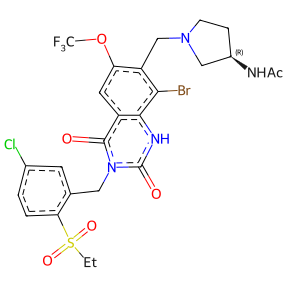 CCS(=O)(=O)c1ccc(Cl)cc1Cn1c(=O)[nH]c2c(Br)c(CN3CC[C@@H](NC(C)=O)C3)c(OC(F)(F)F)cc2c1=O